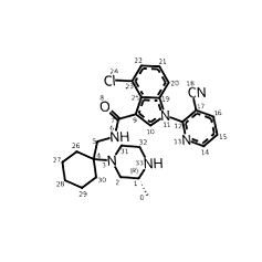 C[C@@H]1CN(C2(CNC(=O)c3cn(-c4ncccc4C#N)c4cccc(Cl)c34)CCCCC2)CCN1